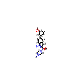 COc1cccc(-c2ccc3[nH]c(C(=O)N4CCN(C)CC4)cc3c2)c1